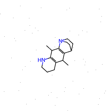 CC1C2=C(NCCC2)C(C)C2=C1C1CCN2CC1